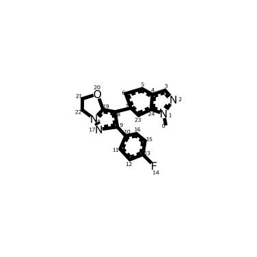 Cn1ncc2ccc(-c3c(-c4ccc(F)cc4)nn4c3OCC4)cc21